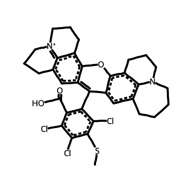 CSc1c(Cl)c(Cl)c(C(=O)O)c(C2=c3cc4c5c(c3Oc3c2cc2c6c3CCCN6CCCC2)CCC[N+]=5CCC4)c1Cl